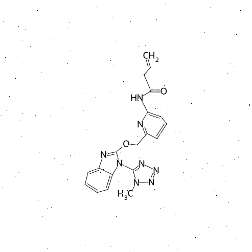 C=CCC(=O)Nc1cccc(COc2nc3ccccc3n2-c2nnnn2C)n1